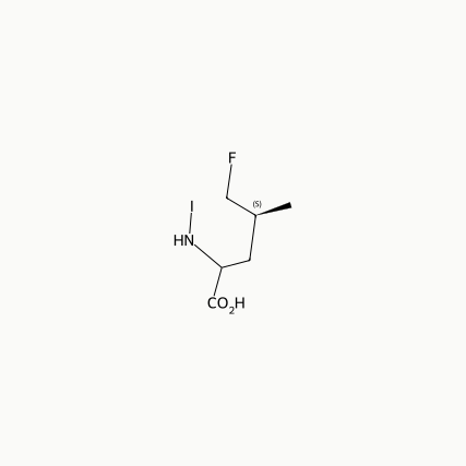 C[C@H](CF)CC(NI)C(=O)O